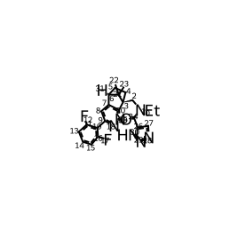 CCN(C[C@@]12CC[C@@H](c3cc(-c4c(F)cccc4F)nnc31)C2(C)C)C(=O)c1cnn[nH]1